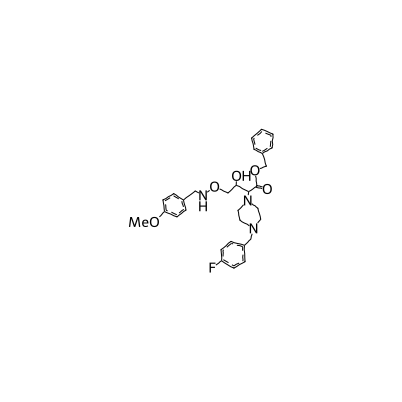 COc1ccc(CNOCC(O)C(C(=O)OCc2ccccc2)N2CCN(Cc3ccc(F)cc3)CC2)cc1